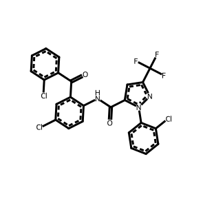 O=C(c1ccccc1Cl)c1cc(Cl)ccc1NC(=O)c1cc(C(F)(F)F)nn1-c1ccccc1Cl